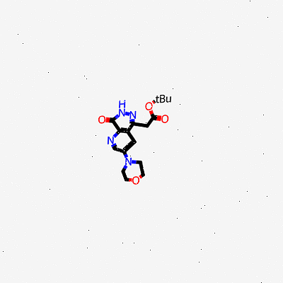 CC(C)(C)OC(=O)Cc1n[nH]c(=O)c2ncc(N3CCOCC3)cc12